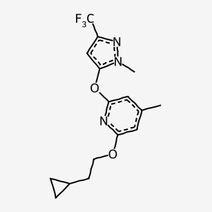 Cc1cc(OCCC2CC2)nc(Oc2cc(C(F)(F)F)nn2C)c1